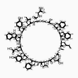 CCCC[C@H]1C(=O)N(C)CC(=O)N[C@@H](CC(=O)O)C(=O)N[C@@H](C(C)C)C(=O)N(C)[C@@H](Cc2ccccc2)C(=O)N[C@@H](Cc2ccc(O)cc2)C(=O)N(C)[C@@H](CCC(=O)O)C(=O)N[C@@H](Cc2c[nH]c3ccccc23)C(=O)N[C@@H](Cc2ccc(O)cc2)C(=O)N[C@@H](CC(C)C)C(=O)N[C@H](C(=O)NCC(N)=O)CSCC(=O)N[C@@H](Cc2ccccc2)C(=O)N(C)[C@@H](Cc2ccccc2)C(=O)N1C